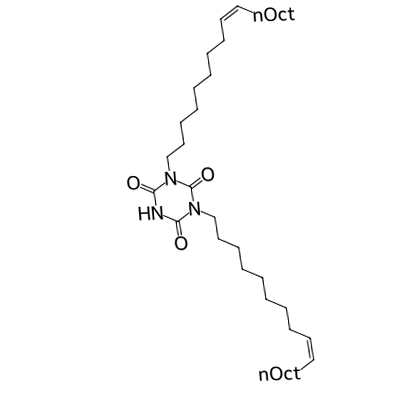 CCCCCCCC/C=C\CCCCCCCCn1c(=O)[nH]c(=O)n(CCCCCCCC/C=C\CCCCCCCC)c1=O